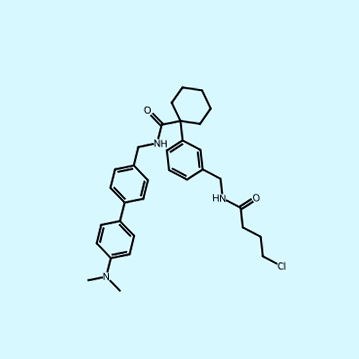 CN(C)c1ccc(-c2ccc(CNC(=O)C3(c4cccc(CNC(=O)CCCCl)c4)CCCCC3)cc2)cc1